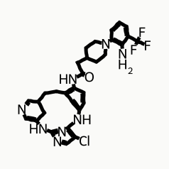 Nc1c(N2CCC(CC(=O)Nc3ccc4cc3CCC3C=NC=C(C3)Nc3ncc(Cl)c(n3)N4)CC2)cccc1C(F)(F)F